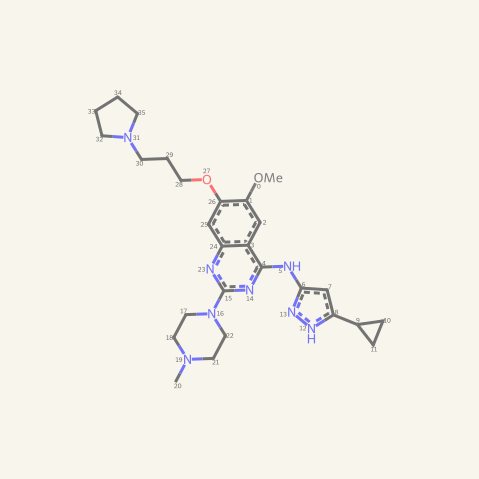 COc1cc2c(Nc3cc(C4CC4)[nH]n3)nc(N3CCN(C)CC3)nc2cc1OCCCN1CCCC1